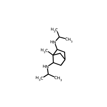 CC(C)NC1CC2CC(NC(C)C)C1(C)C2